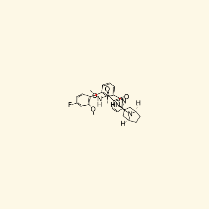 COc1cc(F)ccc1CNC(=O)c1ccc(N2[C@@H]3CC[C@H]2C[C@@H](NC(=O)c2cccc(OC)c2C)C3)nc1